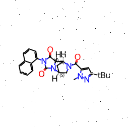 Cn1nc(C(C)(C)C)cc1C(=O)N1C[C@@H]2C[C@H]1[C@H]1C(=O)N(c3cccc4ccccc34)C(=O)N21